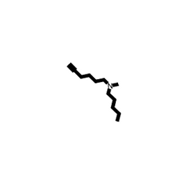 C#CCCCCN(C)CCCCC